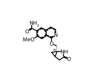 COc1cc2c(OC[C@@]34CC3CC(=O)N4)nccc2cc1C(N)=O